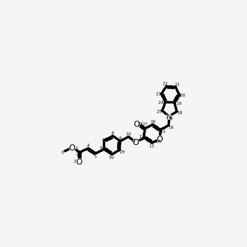 COC(=O)/C=C/c1ccc(COc2coc(CN3Cc4ccccc4C3)cc2=O)cc1